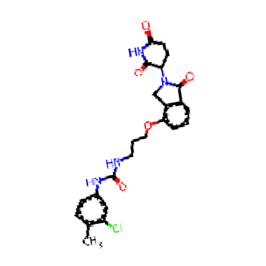 Cc1ccc(NC(=O)NCCCOc2cccc3c2CN(C2CCC(=O)NC2=O)C3=O)cc1Cl